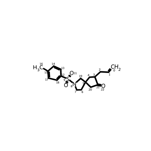 C=CCC1CC2(CCN(S(=O)(=O)c3ccc(C)cc3)C2)CC1=O